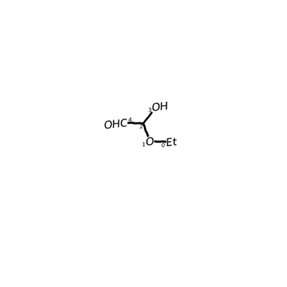 CCOC(O)C=O